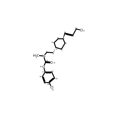 CN(CC[C@H]1CC[C@H](C=CCCl)CC1)C(=O)Oc1ccc(Cl)cc1